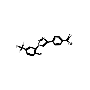 O=C(O)c1ccc(-c2cn(-c3cc(C(F)(F)F)ccc3F)nn2)cc1